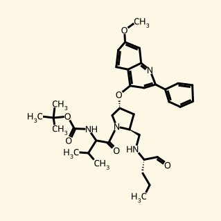 CCC[C@@H](C=O)NC[C@@H]1C[C@@H](Oc2cc(-c3ccccc3)nc3cc(OC)ccc23)CN1C(=O)C(NC(=O)OC(C)(C)C)C(C)C